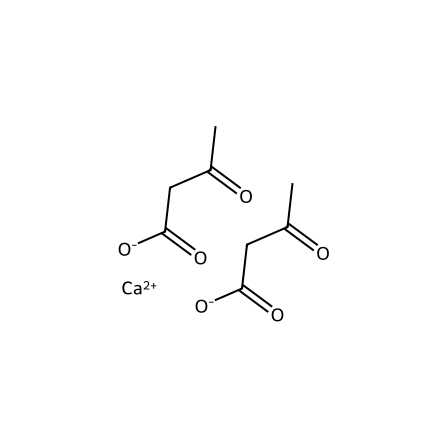 CC(=O)CC(=O)[O-].CC(=O)CC(=O)[O-].[Ca+2]